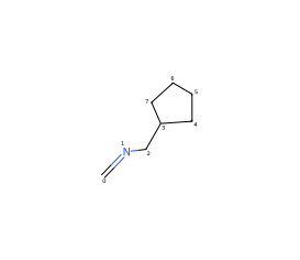 C=NCC1CCCC1